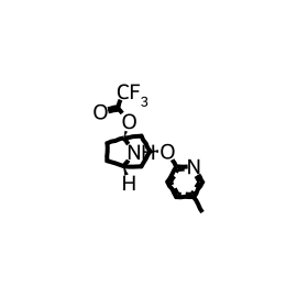 Cc1ccc(O[C@@H]2C[C@@H]3CC[C@@](OC(=O)C(F)(F)F)(C2)N3)nc1